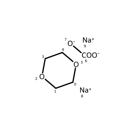 C1COCCO1.O=C([O-])[O-].[Na+].[Na+]